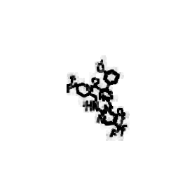 COc1cccc(-c2sc(C)nc2C(=O)N2CC(F)(F)C[C@@H](C)C2CNc2ncc(C(F)(F)F)c(OC)n2)c1